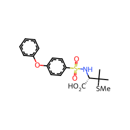 CSC(C)(C)[C@@H](NS(=O)(=O)c1ccc(Oc2ccccc2)cc1)C(=O)O